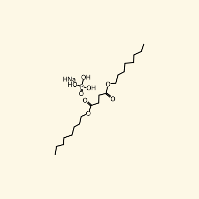 CCCCCCCCOC(=O)CCC(=O)OCCCCCCCC.O=P(O)(O)O.[NaH]